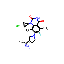 Cc1c(F)c(N2CC[C@@H]([C@H](C)N)C2)c(C)c2c1c(=O)[nH]c(=O)n2C1CC1.Cl